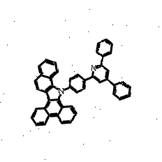 c1ccc(-c2cc(-c3ccccc3)nc(-c3ccc(-n4c5c6ccccc6ccc5c5c6ccccc6c6ccccc6c54)cc3)c2)cc1